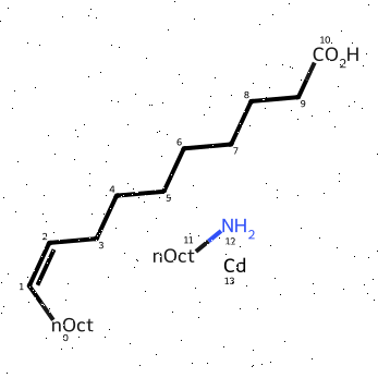 CCCCCCCC/C=C\CCCCCCCC(=O)O.CCCCCCCCN.[Cd]